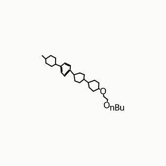 [CH2+][CH-]CCOCCOC1CCC(C2CCC(c3ccc(C4CCC(C)CC4)cc3)CC2)CC1